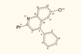 CC(C)c1[c]c(-c2ccccc2)c2cc(Cl)ccc2n1